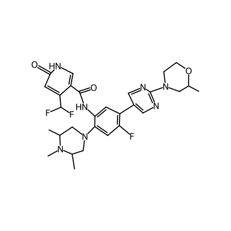 CC1CN(c2ncc(-c3cc(NC(=O)c4c[nH]c(=O)cc4C(F)F)c(N4CC(C)N(C)C(C)C4)cc3F)cn2)CCO1